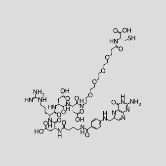 N=C(N)NCCC[C@H](NC(=O)[C@H](CC(=O)O)NC(=O)CCCNC(=O)c1ccc(NCc2cnc3nc(N)[nH]c(=O)c3n2)cc1)C(=O)N[C@@H](CC(=O)O)C(=O)N[C@@H](CC(=O)O)C(=O)NCCOCCOCCOCCOCCC(=O)N[C@@H](CS)C(=O)O